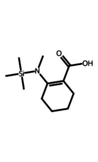 CN(C1=C(C(=O)O)CCCC1)[Si](C)(C)C